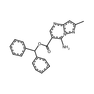 Cc1cc2ncc(C(=O)OC(c3ccccc3)c3ccccc3)c(N)n2n1